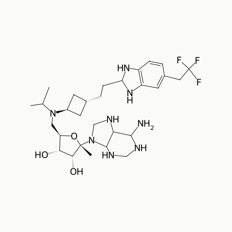 CC(C)N(C[C@H]1O[C@](C)(N2CNC3C(N)NCNC32)[C@H](O)[C@@H]1O)[C@H]1C[C@H](CCC2Nc3ccc(CC(F)(F)F)cc3N2)C1